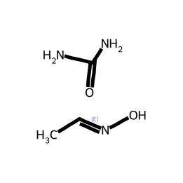 C/C=N/O.NC(N)=O